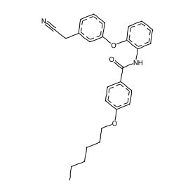 CCCCCCOc1ccc(C(=O)Nc2ccccc2Oc2cccc(CC#N)c2)cc1